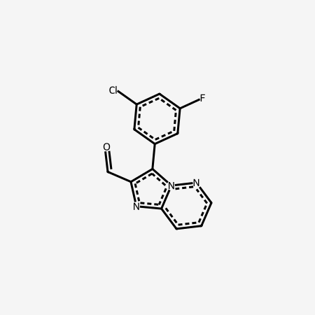 O=Cc1nc2cccnn2c1-c1cc(F)cc(Cl)c1